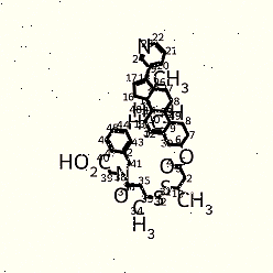 C[C@H](CC(=O)O[C@H]1CC[C@@]2(C)C(=CC[C@H]3C4CC=C(c5cccnc5)[C@@]4(C)CC[C@@H]32)C1)SS[C@H](C)CC(=O)N(CC(=O)O)Cc1ccccc1